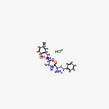 C[C@H](NC(=O)[C@H](N)CCc1ccccc1)C(=O)NCc1cc(Br)ccc1O.Cl